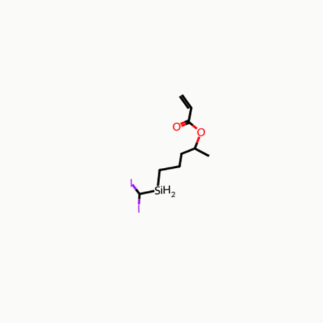 C=CC(=O)OC(C)CCC[SiH2]C(I)I